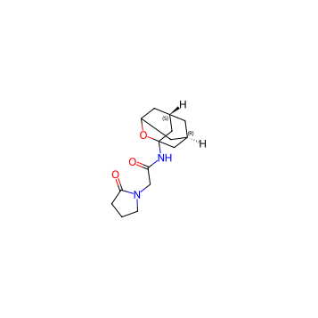 O=C(CN1CCCC1=O)NC12C[C@@H]3CC(C[C@@H](C3)C1)O2